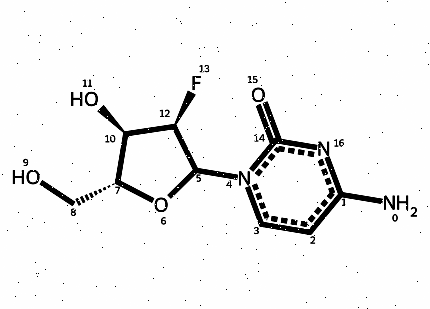 Nc1ccn(C2O[C@H](CO)[C@@H](O)[C@H]2F)c(=O)n1